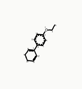 CCOc1ccc(C2=CCCC=C2)cc1